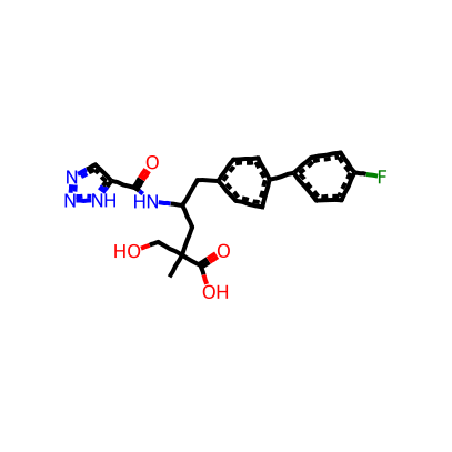 CC(CO)(CC(Cc1ccc(-c2ccc(F)cc2)cc1)NC(=O)c1cnn[nH]1)C(=O)O